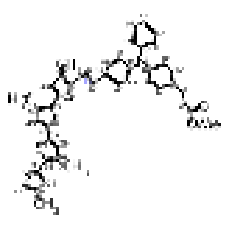 COC(=O)CCc1ccc(N(c2ccccc2)c2ccc(/C=C/c3sc(-c4sc(-c5cc(C)c(-c6cc(C)cs6)s5)cc4C)cc3C)cc2)cc1